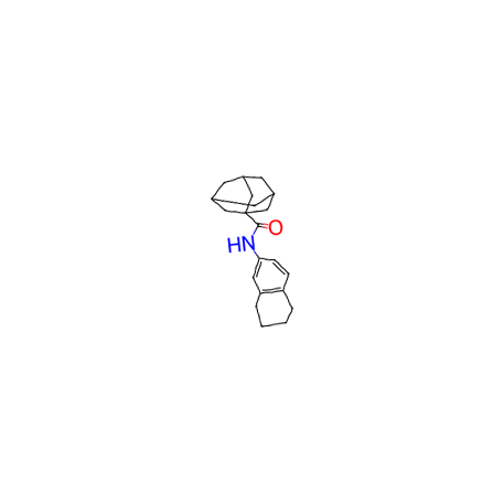 O=C(Nc1ccc2c(c1)CCCC2)C12CC3CC(CC(C3)C1)C2